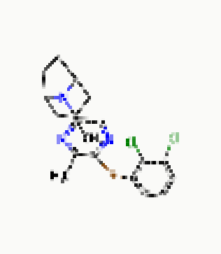 Cc1nc(N2C3CCC2CC(C)C3)cnc1Sc1cccc(Cl)c1Cl